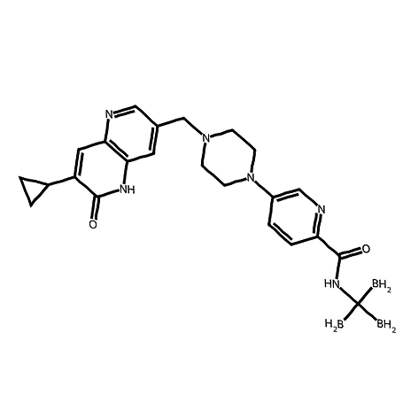 BC(B)(B)NC(=O)c1ccc(N2CCN(Cc3cnc4cc(C5CC5)c(=O)[nH]c4c3)CC2)cn1